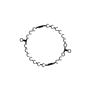 O=C1CCCC=CCCCCCCOC(=O)OCCC=CCCCCCCC1